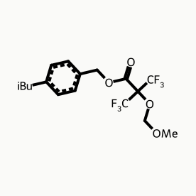 CCC(C)c1ccc(COC(=O)C(OCOC)(C(F)(F)F)C(F)(F)F)cc1